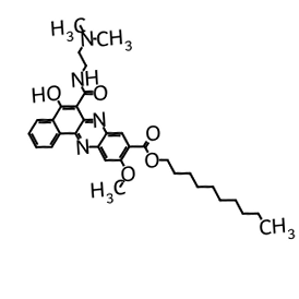 CCCCCCCCCCOC(=O)c1cc2nc3c(C(=O)NCCN(C)C)c(O)c4ccccc4c3nc2cc1OC